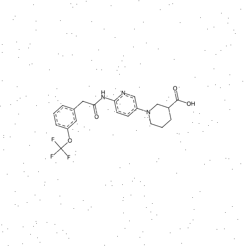 O=C(Cc1cccc(OC(F)(F)F)c1)Nc1ccc(N2CCCC(C(=O)O)C2)cn1